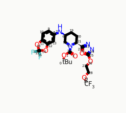 CC(C)(C)OC(=O)N1C[C@@H](Nc2ccc3c(c2)OC(F)(F)O3)CC[C@@H]1c1nnc(OCCOC(F)(F)F)o1